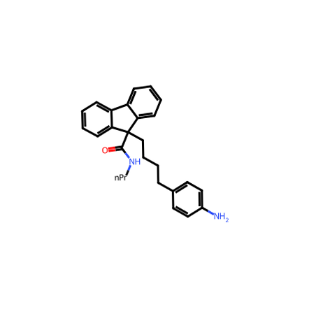 CCCNC(=O)C1(CCCCc2ccc(N)cc2)c2ccccc2-c2ccccc21